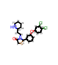 O=C1CSC(c2cccc(Oc3ccc(Cl)c(Cl)c3)c2)N1CCC1CCCCN1